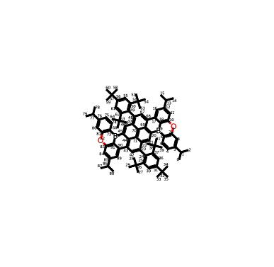 CC(C)c1ccc2c(c1)Oc1cc(C(C)C)cc3c1B2c1cc2c(-c4c(C(C)(C)C)cc(C(C)(C)C)cc4C(C)(C)C)cc4c5c(cc6c(-c7c(C(C)(C)C)cc(C(C)(C)C)cc7C(C)(C)C)cc-3c1c6c25)B1c2ccc(C(C)C)cc2Oc2cc(C(C)C)cc-4c21